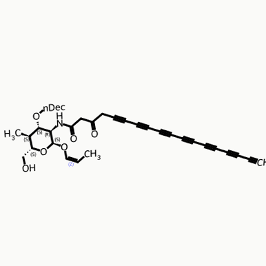 C#CC#CC#CC#CC#CC#CC#CCC(=O)CC(=O)N[C@H]1[C@@H](O/C=C\C)O[C@H](CO)[C@@H](C)[C@@H]1OCCCCCCCCCC